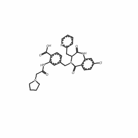 O=C(CN1CCCC1)Nc1cc(CN2C(=O)c3ccc(Cl)cc3NC(=O)C2Cc2ccccn2)ccc1C(=O)O